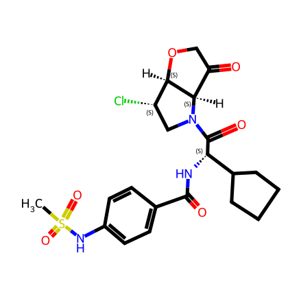 CS(=O)(=O)Nc1ccc(C(=O)N[C@H](C(=O)N2C[C@H](Cl)[C@H]3OCC(=O)[C@H]32)C2CCCC2)cc1